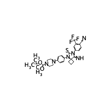 CC(C)(C)OC(=O)N1CCN(c2ccc(N3C(=S)N(c4ccc(C#N)c(C(F)(F)F)c4)C(=N)C34CCC4)cc2)CC1